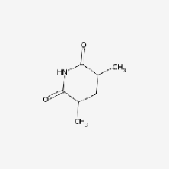 CC1CC(C)C(=O)NC1=O